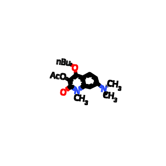 CCCCOc1c(OC(C)=O)c(=O)n(C)c2cc(N(C)C)ccc12